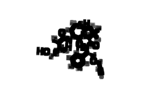 C#CCOC[C@@H](NC(=O)[C@H]1N2C(=O)[C@@H](NC(=O)[C@H](C)N(C)C(=O)O)CCS[C@H]2CC1(C)C)c1ccccc1